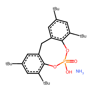 CC(C)(C)c1cc2c(c(C(C)(C)C)c1)OP(=O)(O)Oc1c(cc(C(C)(C)C)cc1C(C)(C)C)C2.N